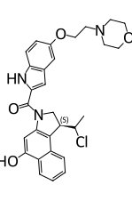 CC(Cl)[C@@H]1CN(C(=O)c2cc3cc(OCCN4CCOCC4)ccc3[nH]2)c2cc(O)c3ccccc3c21